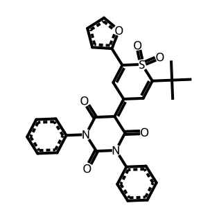 CC(C)(C)C1=CC(=C2C(=O)N(c3ccccc3)C(=O)N(c3ccccc3)C2=O)C=C(c2ccco2)S1(=O)=O